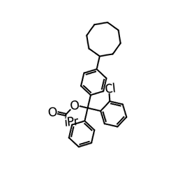 CC(C)C(=O)OC(c1ccccc1)(c1ccc(C2CCCCCCC2)cc1)c1ccccc1Cl